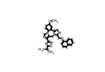 COC1C=C2C(=CC1)n1cnc(-c3noc(C(C)C)n3)c1Cn1c(COc3cccc4ccccc34)nnc12